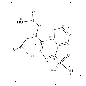 CC(O)CN(CC(C)O)c1ccc(S(=O)(=O)O)c2ccccc12